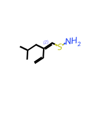 C=C/C(=C\SN)CC(C)C